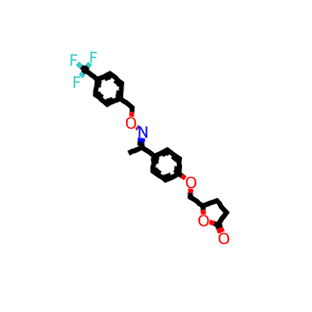 C/C(=N\OCc1ccc(C(F)(F)F)cc1)c1ccc(OCC2CCC(=O)O2)cc1